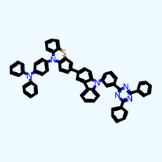 c1ccc(-c2nc(-c3ccccc3)nc(-c3cccc(-n4c5ccccc5c5cc(-c6ccc7c(c6)Sc6ccccc6N7c6ccc(N(c7ccccc7)c7ccccc7)cc6)ccc54)c3)n2)cc1